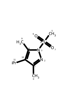 Cc1nn(S(C)(=O)=O)c(C)c1C(C)C